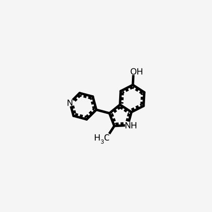 Cc1[nH]c2ccc(O)cc2c1-c1ccncc1